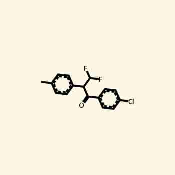 Cc1ccc(C(C(=O)c2ccc(Cl)cc2)C(F)F)cc1